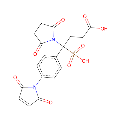 O=C(O)CCC(c1ccc(N2C(=O)C=CC2=O)cc1)(N1C(=O)CCC1=O)S(=O)(=O)O